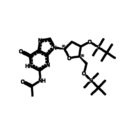 CC(=O)Nc1nc2c(ncn2[C@H]2CC(O[Si](C)(C)C(C)(C)C)[C@@H](CO[Si](C)(C)C(C)(C)C)O2)c(=O)[nH]1